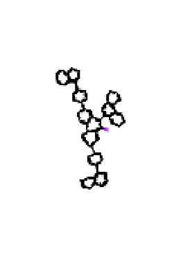 Ic1c(-c2cc3ccccc3c3ccccc23)c2cc(-c3ccc(-c4cccc5ccccc45)cc3)ccc2c2ccc(-c3ccc(-c4cccc5ccccc45)cc3)cc12